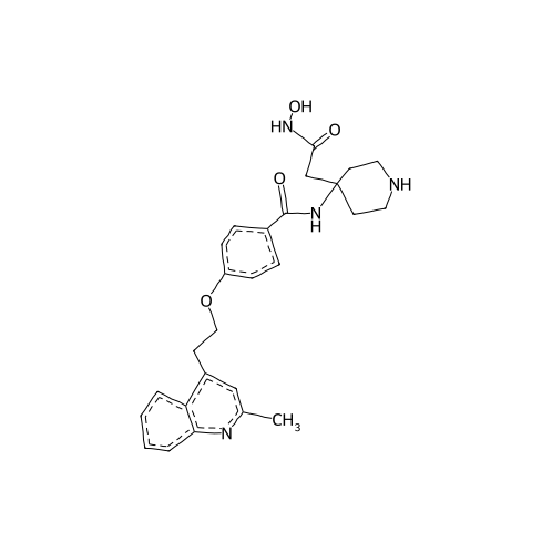 Cc1cc(CCOc2ccc(C(=O)NC3(CC(=O)NO)CCNCC3)cc2)c2ccccc2n1